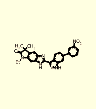 CCN1C(=O)C(C)(C)c2cc3nc(-c4n[nH]c5cc(-c6cccc([N+](=O)[O-])c6)ccc45)[nH]c3cc21